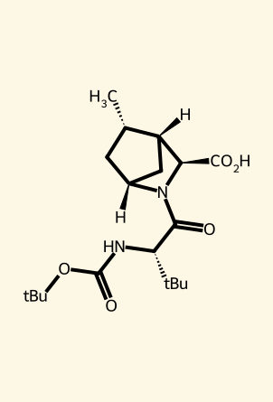 C[C@H]1C[C@@H]2C[C@H]1[C@@H](C(=O)O)N2C(=O)[C@@H](NC(=O)OC(C)(C)C)C(C)(C)C